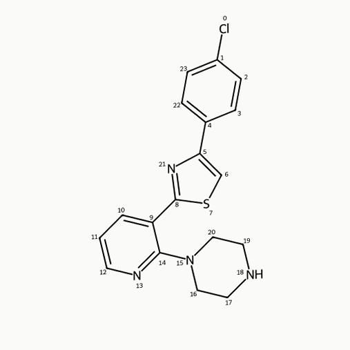 Clc1ccc(-c2csc(-c3cccnc3N3CCNCC3)n2)cc1